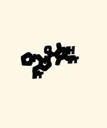 Cc1[nH]c(C(C)C)c(C)c1C(=O)N1CCC(CC(C)C)C1CN1CCCC1